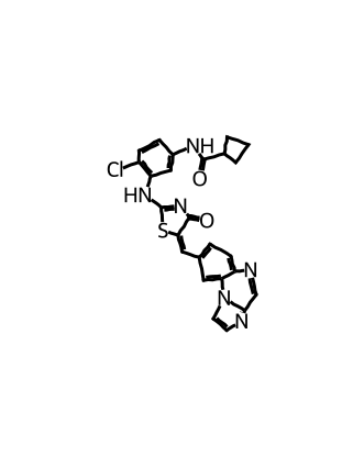 O=C1N=C(Nc2cc(NC(=O)C3CCC3)ccc2Cl)SC1=Cc1ccc2ncc3nccn3c2c1